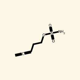 C=C=CCCOS(N)(=O)=O